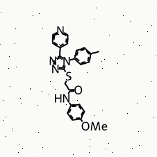 COc1ccc(NC(=O)CSc2nnc(-c3ccncc3)n2-c2ccc(C)cc2)cc1